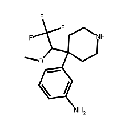 COC(C(F)(F)F)C1(c2cccc(N)c2)CCNCC1